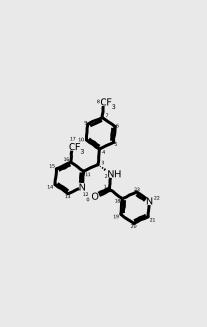 O=C(N[C@@H](c1ccc(C(F)(F)F)cc1)c1ncccc1C(F)(F)F)c1cccnc1